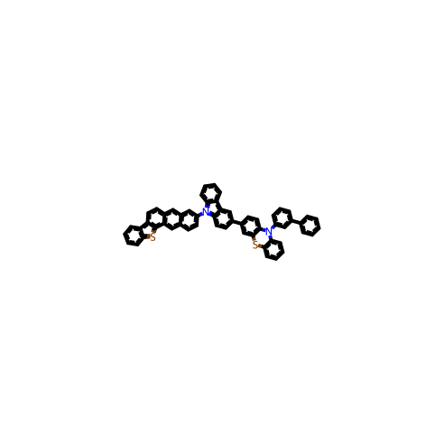 c1ccc(-c2cccc(N3c4ccccc4Sc4cc(-c5ccc6c(c5)c5ccccc5n6-c5ccc6cc7c(ccc8c9ccccc9sc78)cc6c5)ccc43)c2)cc1